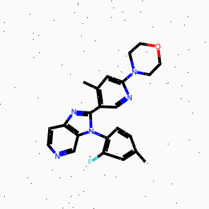 Cc1ccc(-n2c(-c3cnc(N4CCOCC4)cc3C)nc3ccncc32)c(F)c1